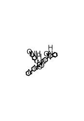 O=C1Cc2cc(C[C@@H](NC(=O)N3CCC(N4Cc5ccccc5NC4=O)CC3)C(=O)N3CCC(N4CCCCC4)CC3)ccc2N1